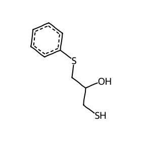 OC(CS)CSc1ccccc1